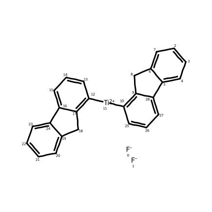 [F-].[F-].c1ccc2c(c1)Cc1[c]([Ti+2][c]3cccc4c3Cc3ccccc3-4)cccc1-2